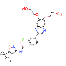 O=C(Cc1ccc(-c2cnc3cc(OCCO)c(OCCO)cc3n2)cc1F)Nc1cc(C2(C(F)(F)F)CC2)on1